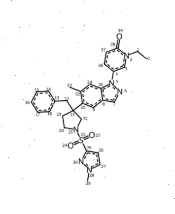 CCn1cc(-n2ncc3cc(C4(Cc5ccccc5)CCN(S(=O)(=O)c5ccn(C)n5)C4)c(C)cc32)ccc1=O